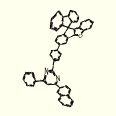 c1ccc(-c2cc(-c3ccc4ccccc4c3)nc(-c3ccc(-c4ccc5c(c4)-c4oc6ccccc6c4C54c5ccccc5-c5ccccc54)cc3)n2)cc1